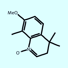 COc1ccc2c(c1C)[N+]([O-])=CCC2(C)C